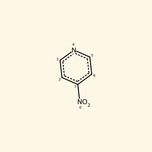 O=[N+]([O-])c1ccncc1